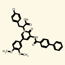 COc1ccc(-c2cc(NC(=O)c3ccc(-c4ccccc4)cc3)c(=O)n(C(Cc3ccc(Cl)cc3)C(=O)O)c2)cc1OC